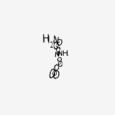 NC(=O)Oc1ccc2[nH]c(-c3ccc(Oc4ccc5c(c4)OCO5)cc3)nc2c1